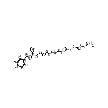 NCCOCCOCCCOCCOCCC(=O)OCc1ccccc1